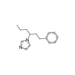 CCCC(CCc1ccccc1)n1ccnc1